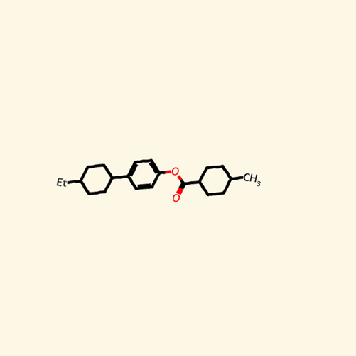 CCC1CCC(c2ccc(OC(=O)C3CCC(C)CC3)cc2)CC1